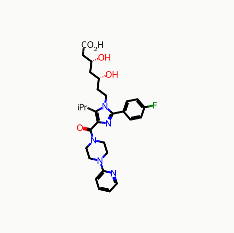 CC(C)c1c(C(=O)N2CCN(c3ccccn3)CC2)nc(-c2ccc(F)cc2)n1CC[C@@H](O)C[C@@H](O)CC(=O)O